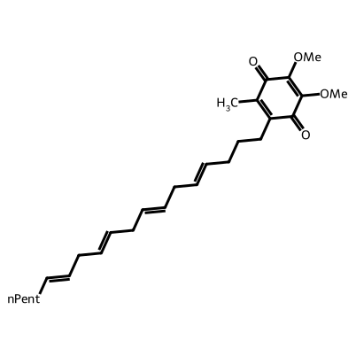 CCCCCC=CCC=CCC=CCC=CCCCC1=C(C)C(=O)C(OC)=C(OC)C1=O